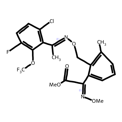 CO/N=C(/C(=O)OC)c1cccc(C)c1CO/N=C(\C)c1c(Cl)ccc(F)c1OC(F)(F)F